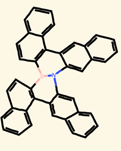 c1ccc2cc3c(cc2c1)-c1c(ccc2ccccc12)B1c2ccc4ccccc4c2-c2cc4ccccc4cc2N13